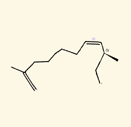 [CH]=C(C)CCCC/C=C\[C@@H](C)C[CH2]